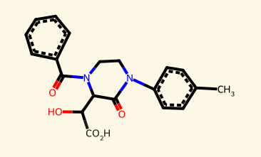 Cc1ccc(N2CCN(C(=O)c3ccccc3)C(C(O)C(=O)O)C2=O)cc1